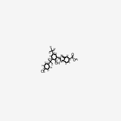 COC(=O)c1ccc2nn(-c3cc(C(C)(C)C)cc(C(C)(C)c4ccc(Cl)cc4)c3O)nc2c1